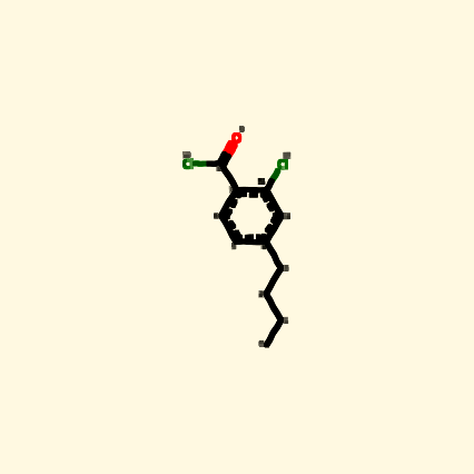 CCCCc1ccc(C(=O)Cl)c(Cl)c1